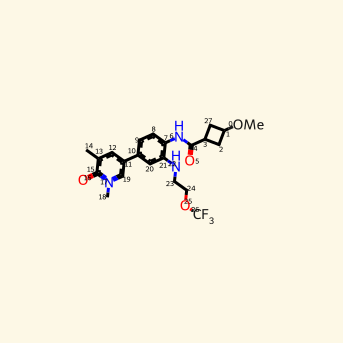 COC1CC(C(=O)Nc2ccc(-c3cc(C)c(=O)n(C)c3)cc2NCCOC(F)(F)F)C1